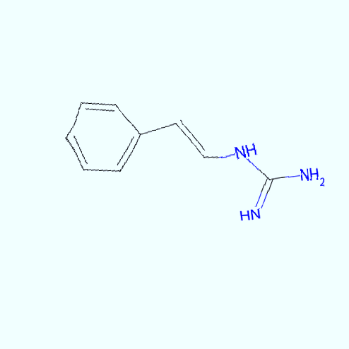 N=C(N)NC=Cc1ccccc1